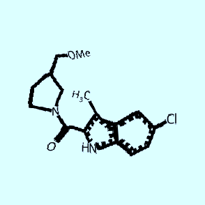 COCC1CCN(C(=O)c2[nH]c3ccc(Cl)cc3c2C)C1